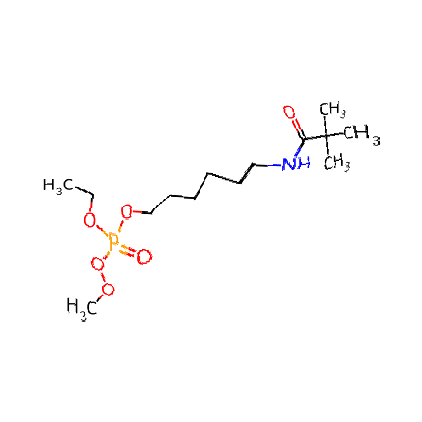 CCOP(=O)(OCCCCCCNC(=O)C(C)(C)C)OOC